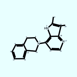 Cc1[nH]c2c(N3CCc4ccccc4C3)ccnc2c1C